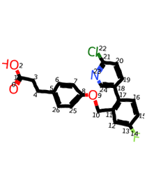 O=C(O)CCc1ccc(OCc2cc(F)ccc2-c2ccc(Cl)nc2)cc1